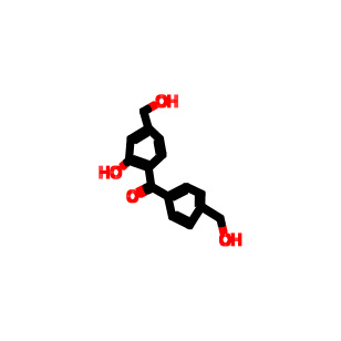 O=C(c1ccc(CO)cc1)c1ccc(CO)cc1O